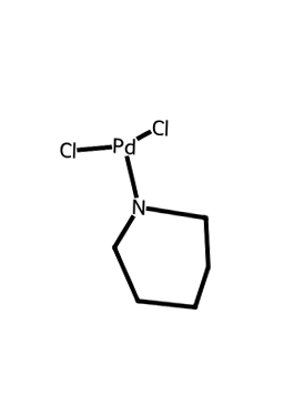 [Cl][Pd]([Cl])[N]1CCCCC1